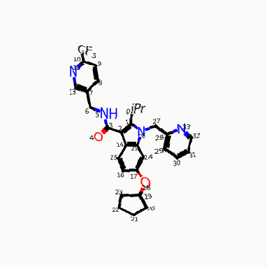 CC(C)c1c(C(=O)NCc2ccc(C(F)(F)F)nc2)c2ccc(OC3CCCC3)cc2n1Cc1ccccn1